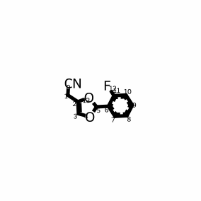 N#CCC1=COC(c2ccccc2F)O1